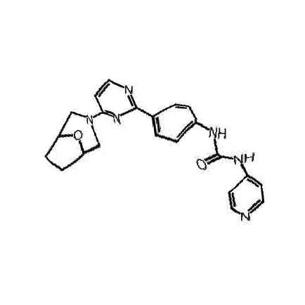 O=C(Nc1ccncc1)Nc1ccc(-c2nccc(N3CC4CCC(C3)O4)n2)cc1